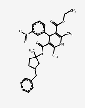 CCOC(=O)C1=C(C)NC(C)=C(C(=O)OC2(C)CCN(Cc3ccccc3)C2)C1c1cccc([N+](=O)[O-])c1